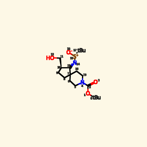 CC(C)(C)OC(=O)N1CCC2(CC[C@@H](CO)/C2=N\[S@+]([O-])C(C)(C)C)CC1